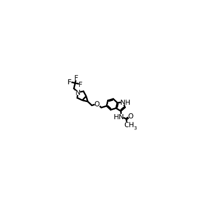 CC(=O)Nc1c[nH]c2ccc(COCC3C4CN(CC(F)(F)F)CC34)cc12